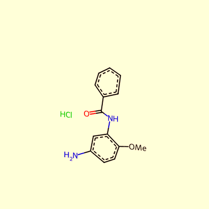 COc1ccc(N)cc1NC(=O)c1ccccc1.Cl